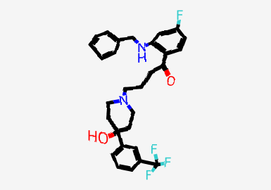 O=C(CCCN1CCC(O)(c2cccc(C(F)(F)F)c2)CC1)c1ccc(F)cc1NCc1ccccc1